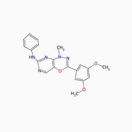 COc1cc(OC)cc(C2=NN(C)c3nc(Nc4ccccc4)ncc3O2)c1